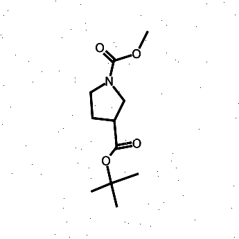 COC(=O)N1CCC(C(=O)OC(C)(C)C)C1